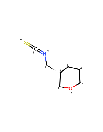 S=C=NC[C@@H]1CCCOC1